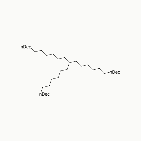 CCCCCCCCCCCCCCCCC(CCCCCCCCCCCCCCCC)CCCCCCCCCCCCCCCC